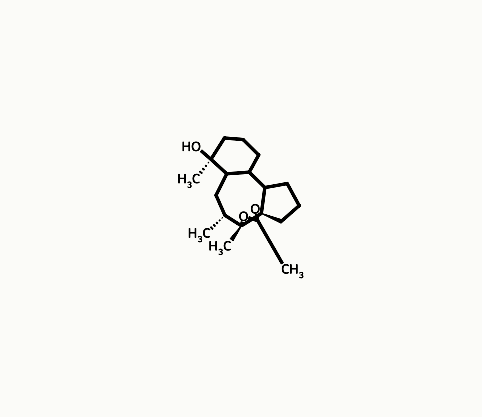 CC1O[C@@]2(C)[C@H](C)CC3C(CCC[C@]3(C)O)C3CCC[C@@]32O1